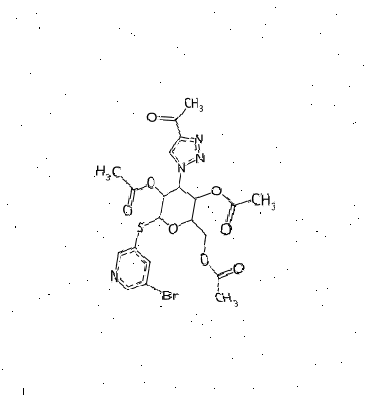 CC(=O)OCC1OC(Sc2cncc(Br)c2)C(OC(C)=O)C(n2cc(C(C)=O)nn2)C1OC(C)=O